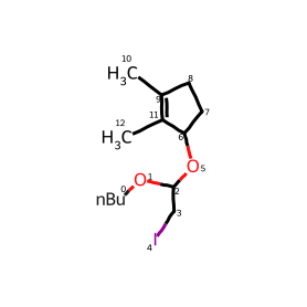 CCCCOC(CI)OC1CCC(C)=C1C